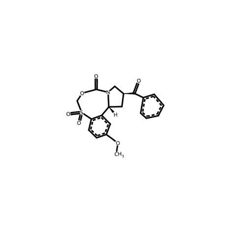 COc1ccc2c(c1)[C@H]1C[C@H](C(=O)c3ccccc3)CN1C(=O)OCS2(=O)=O